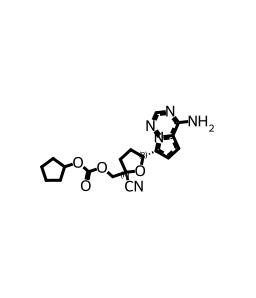 N#C[C@@]1(COC(=O)OC2CCCC2)CC[C@H](c2ccc3c(N)ncnn23)O1